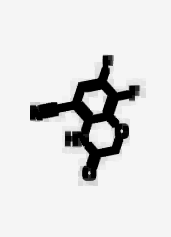 N#Cc1cc(F)c(F)c2c1NC(=O)CO2